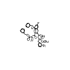 CCc1cccc(CN(CC(O)C(Cc2cc(F)cc(OCc3ccccc3)c2)NC(=O)CNC(=O)OCc2ccccc2)C(=O)OC(C)(C)C)c1